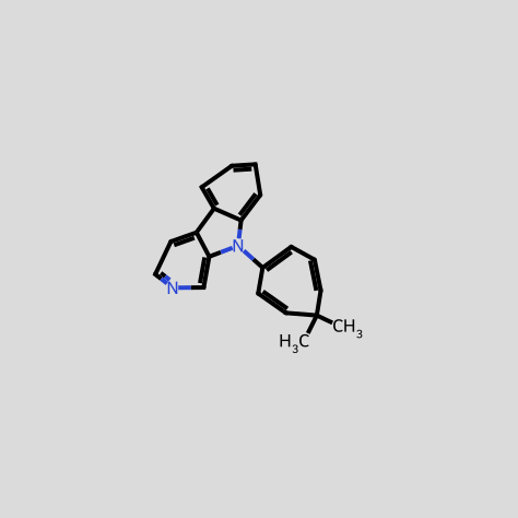 CC1(C)C=CC=C(n2c3ccccc3c3ccncc32)C=C1